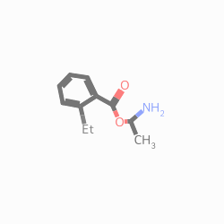 CCc1ccccc1C(=O)OC(C)N